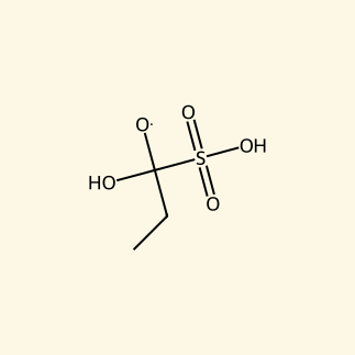 CCC([O])(O)S(=O)(=O)O